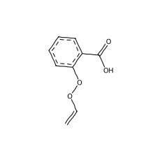 C=COOc1ccccc1C(=O)O